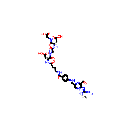 CN/C(N)=N\c1ncc(CNc2ccc(C(=O)NCCCC(=O)N[C@@H](CC(=O)O)C(=O)NCC(=O)N[C@@H](CC(=O)O)C(=O)NCC(=O)O)cc2)nc1C=O